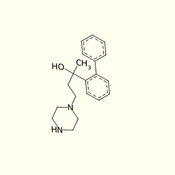 CC(O)(CCN1CCNCC1)c1ccccc1-c1ccccc1